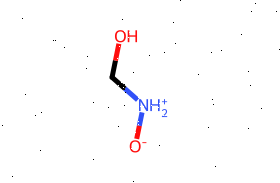 [O-][NH2+]CO